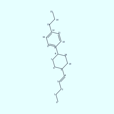 CCC/C=C/C1CCC(c2ccc(CCC)cc2)CC1